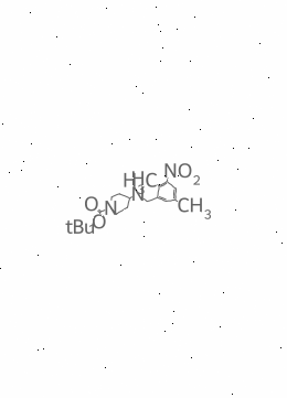 Cc1cc(CNC2CCN(C(=O)OC(C)(C)C)CC2)c(C)c([N+](=O)[O-])c1